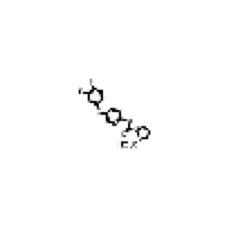 O=C(Nc1ccc(Oc2ccc(F)c(F)c2)cn1)[C@H]1CCCN1C(=O)O